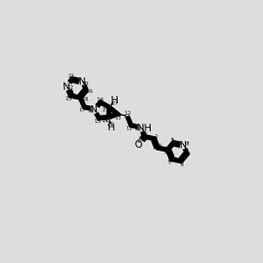 O=C(/C=C/c1cccnc1)NCC[C@@H]1[C@H]2CN(Cc3cncnc3)C[C@@H]12